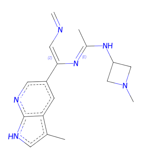 C=N/C=C(\N=C(/C)NC1CN(C)C1)c1cnc2[nH]cc(C)c2c1